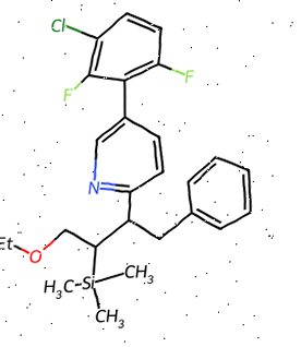 [CH2]COCC(C(Cc1ccccc1)c1ccc(-c2c(F)ccc(Cl)c2F)cn1)[Si](C)(C)C